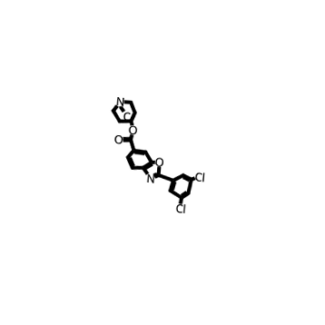 O=C(OC12CCN(CC1)CC2)c1ccc2nc(-c3cc(Cl)cc(Cl)c3)oc2c1